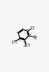 CCc1c(Cl)ccc(Cl)c1Br